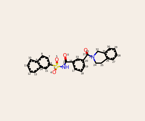 O=C(NS(=O)(=O)c1ccc2ccccc2c1)c1cccc(C(=O)N2CCc3ccccc3C2)c1